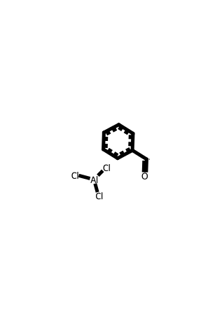 O=[C]c1ccccc1.[Cl][Al]([Cl])[Cl]